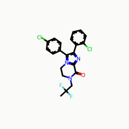 CC(F)(F)CN1CCn2c(nc(-c3ccccc3Cl)c2-c2ccc(Cl)cc2)C1=O